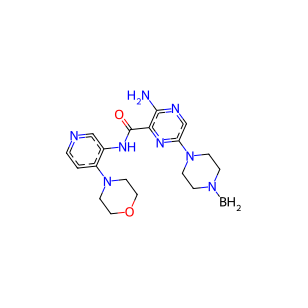 BN1CCN(c2cnc(N)c(C(=O)Nc3cnccc3N3CCOCC3)n2)CC1